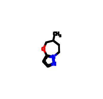 CC1CCn2nccc2OC1